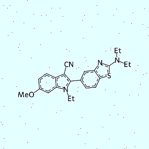 CCN(CC)c1nc2cc(-c3c(C#N)c4ccc(OC)cc4n3CC)ccc2s1